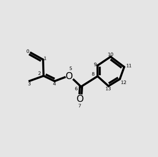 C=CC(C)=COC(=O)c1ccccc1